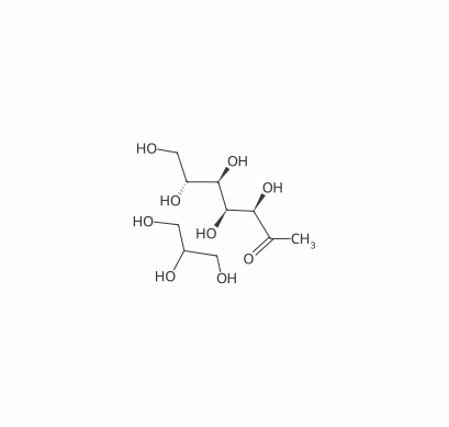 CC(=O)[C@H](O)[C@@H](O)[C@H](O)[C@H](O)CO.OCC(O)CO